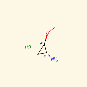 CO[C@@H]1C[C@H]1N.Cl